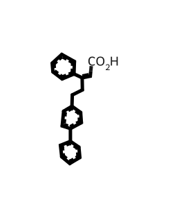 O=C(O)/C=C(/CCc1ccc(-c2ccccc2)cc1)c1ccccc1